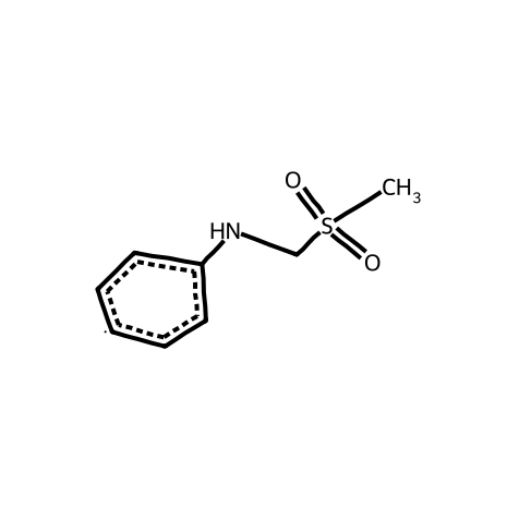 CS(=O)(=O)CNc1cc[c]cc1